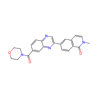 Cn1ccc2cc(-c3cnc4ccc(C(=O)N5CCOCC5)cc4n3)ccc2c1=O